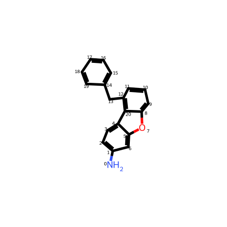 Nc1ccc2c(c1)oc1cccc(Cc3ccccc3)c12